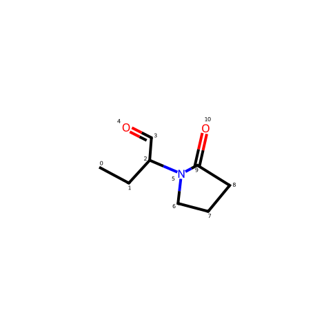 CCC(C=O)N1CCCC1=O